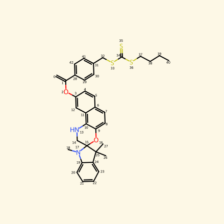 C=C(Oc1ccc2ccc3c(c2c1)NCC1(O3)N(C)c2ccccc2C1(C)C)c1ccc(CSC(=S)SCCCC)cc1